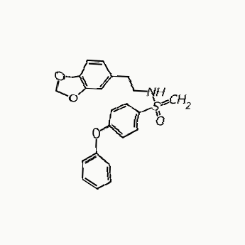 C=S(=O)(NCCc1ccc2c(c1)OCO2)c1ccc(Oc2ccccc2)cc1